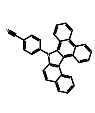 N#Cc1ccc(-n2c3ccc4ccccc4c3c3c4ccccc4c4ccccc4c32)cc1